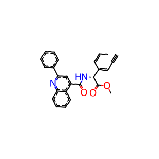 C#C/C=C(\C=C/C)[C@@H](NC(=O)c1cc(-c2ccccc2)nc2ccccc12)C(=O)OC